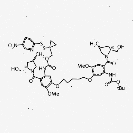 C=C1C[C@@H](CO)N(C(=O)c2cc(OC)c(OCCCCCOc3cc(NC(=O)OC(C)(C)C)c(C(=O)N4CC(=C)C[C@H]4CO)cc3OC)cc2NC(=O)OCC2(SSc3ccc([N+](=O)[O-])cn3)CC2)C1